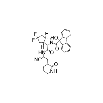 N#C[C@H](C[C@@H]1CCCNC1=O)NC(=O)[C@H]1[C@@H]2CC(F)(F)C[C@@H]2CN1C(=O)C1(O)c2ccccc2-c2ccccc21